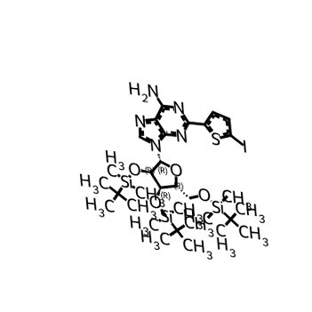 CC(C)(C)[Si](C)(C)OC[C@H]1O[C@@H](n2cnc3c(N)nc(-c4ccc(I)s4)nc32)[C@H](O[Si](C)(C)C(C)(C)C)[C@@H]1O[Si](C)(C)C(C)(C)C